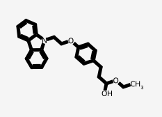 CCOC(O)CCc1ccc(OCCn2c3ccccc3c3ccccc32)cc1